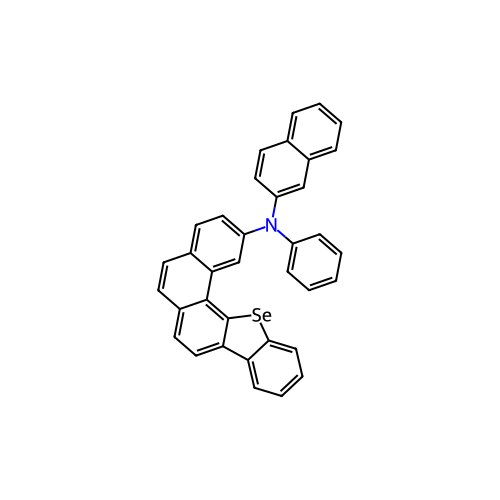 c1ccc(N(c2ccc3ccccc3c2)c2ccc3ccc4ccc5c6ccccc6[se]c5c4c3c2)cc1